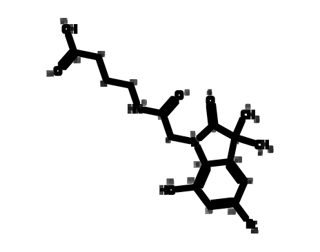 CC1(C)C(=O)N(CC(=O)NCCCC(=O)O)c2c(O)cc(Br)cc21